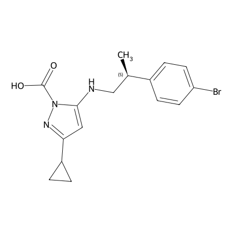 C[C@H](CNc1cc(C2CC2)nn1C(=O)O)c1ccc(Br)cc1